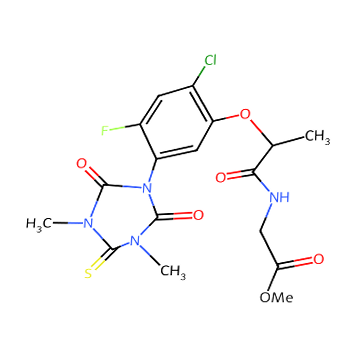 COC(=O)CNC(=O)C(C)Oc1cc(-n2c(=O)n(C)c(=S)n(C)c2=O)c(F)cc1Cl